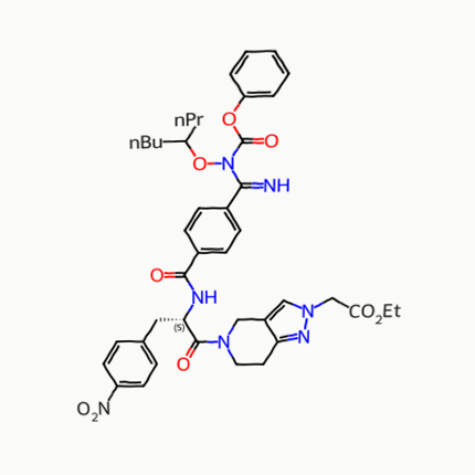 CCCCC(CCC)ON(C(=N)c1ccc(C(=O)N[C@@H](Cc2ccc([N+](=O)[O-])cc2)C(=O)N2CCc3nn(CC(=O)OCC)cc3C2)cc1)C(=O)Oc1ccccc1